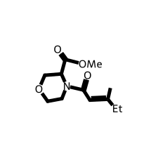 CC/C(C)=C/C(=O)N1CCOCC1C(=O)OC